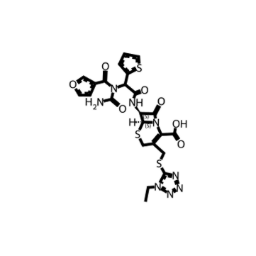 CCn1nnnc1SCC1=C(C(=O)O)N2C(=O)[C@H](NC(=O)C(c3cccs3)N(C(N)=O)C(=O)c3ccoc3)[C@@H]2SC1